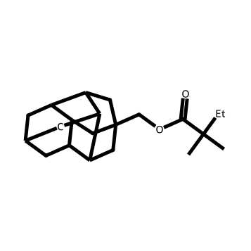 CCC(C)(C)C(=O)OCC12CC3C4CC5CC3C(C1)C(C5)C4C2